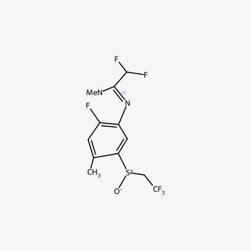 CN/C(=N\c1cc([S+]([O-])CC(F)(F)F)c(C)cc1F)C(F)F